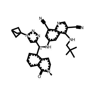 Cn1ccc2c([C@H](Nc3cc(C#N)c4ncc(C#N)c(NCC(C)(C)C)c4c3)c3cn(C45CC(C4)C5)nn3)cccc2c1=O